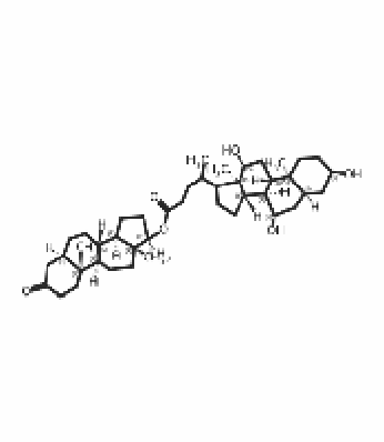 CC(CCC(=O)O[C@]1(C)CC[C@@H]2[C@H]3CC[C@@H]4CC(=O)CC[C@@]4(C)[C@@H]3CC[C@]21C)C1CC[C@H]2[C@@H]3[C@H](O)C[C@@H]4C[C@H](O)CC[C@]4(C)[C@H]3C[C@H](O)[C@]12C